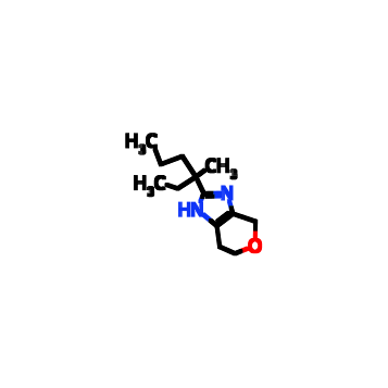 CCCC(C)(CC)c1nc2c([nH]1)CCOC2